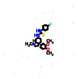 COc1ccc([C@@]23CC[C@@H](NC(=S)Nc4ccc(F)cc4)C[C@@H]2N(C)CC3)cc1OC